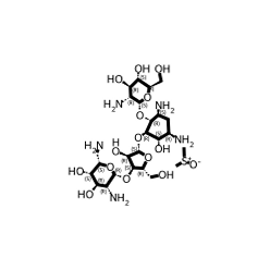 C[S+](C)[O-].NC[C@@H]1O[C@H](O[C@H]2[C@@H](O)[C@H](O[C@@H]3[C@@H](O)[C@H](N)C[C@H](N)[C@H]3O[C@H]3O[C@H](CO)[C@@H](O)[C@H](O)[C@H]3N)O[C@@H]2CO)[C@H](N)[C@@H](O)[C@@H]1O